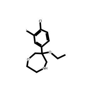 CCOC1(c2ccc(Cl)c(I)c2)CNCCOC1